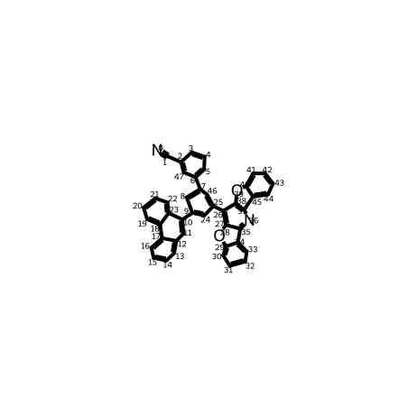 N#Cc1cccc(-c2cc(-c3cc4ccccc4c4ccccc34)cc(-c3c4oc5ccccc5c4nc4c3oc3ccccc34)c2)c1